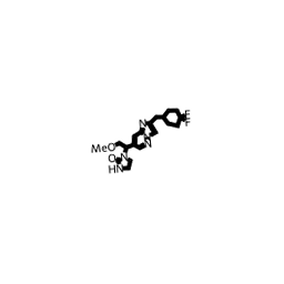 COCC(c1cnn2cc(CC3CCC(F)(F)CC3)nc2c1)N1CCNC1=O